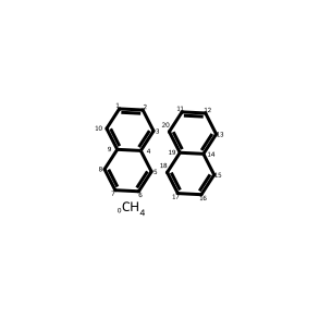 C.c1ccc2ccccc2c1.c1ccc2ccccc2c1